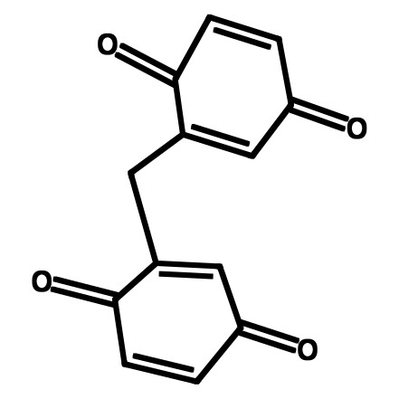 O=C1C=CC(=O)C(CC2=CC(=O)C=CC2=O)=C1